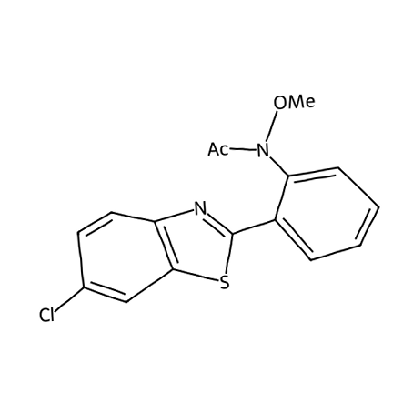 CON(C(C)=O)c1ccccc1-c1nc2ccc(Cl)cc2s1